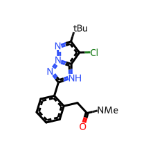 CNC(=O)Cc1ccccc1-c1nn2nc(C(C)(C)C)c(Cl)c2[nH]1